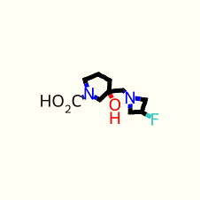 O=C(O)N1CCCC(O)(CN2CC(F)C2)C1